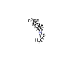 C=CC1CCC(/C=C/c2cc3c(c(F)c2F)Oc2c(ccc(CCC)c2F)C3)CC1